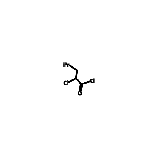 CC(C)CC(Cl)C(=O)Cl